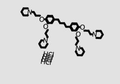 Cl.Cl.Cl.Cl.c1cc(OCCCN2CCCCC2)c(OCCCN2CCCCC2)cc1CCCCc1ccc(OCCCN2CCCCC2)c(OCCCN2CCCCC2)c1